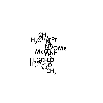 CCCN(CCN(C)C)c1nc(OC)c(NC(=O)c2ccc(Oc3cc([Si](C)(C)C)ccc3C)o2)c(OC)n1